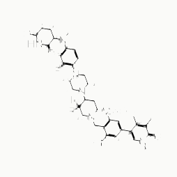 COc1cc(-c2cn(C)c(=O)c(C)c2C)cc(Cl)c1CN1CCC(N2CCN(c3ccc(N(C)C4CCC(O)NC4=O)cc3F)CC2)C(F)(F)C1